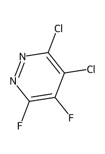 Fc1nnc(Cl)c(Cl)c1F